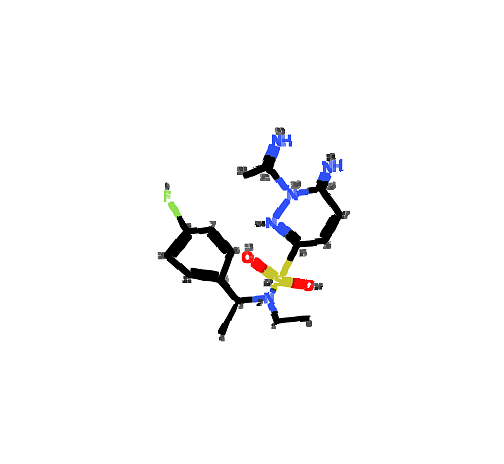 CCN([C@@H](C)c1ccc(F)cc1)S(=O)(=O)c1ccc(=N)n(C(C)=N)n1